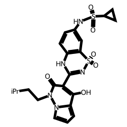 CC(C)CCn1c(=O)c(C2=NS(=O)(=O)c3cc(NS(=O)(=O)C4CC4)ccc3N2)c(O)c2cccn21